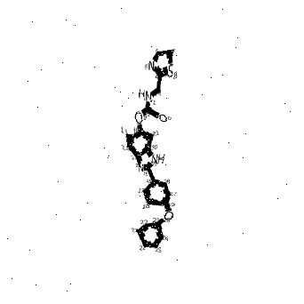 O=C(NCc1nccs1)Oc1ccc2nc(-c3ccc(Oc4ccccc4)cc3)[nH]c2c1